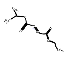 CCOC(=O)/N=N/C(=O)OC(C)C